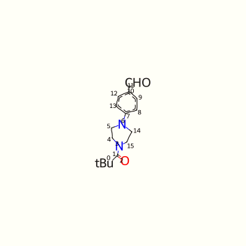 CC(C)(C)C(=O)N1CCN(c2ccc(C=O)cc2)CC1